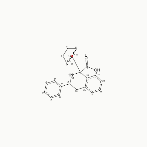 O=C(O)C1(C2CC3CCN2CC3)NC(c2ccccc2)Cc2ccccc21